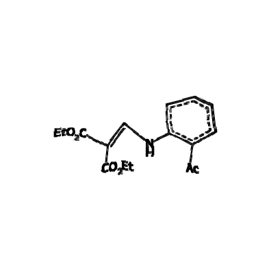 CCOC(=O)C(=CNc1ccccc1C(C)=O)C(=O)OCC